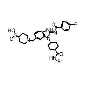 CC(C)NC(=O)[C@H]1CC[C@@H](n2/c(=N/C(=O)c3ccc(F)cc3)[nH]c3ccc(CN4CCC(S(=O)O)CC4)cc32)CC1